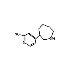 N#Cc1cc(C2CCCCNC2)ccn1